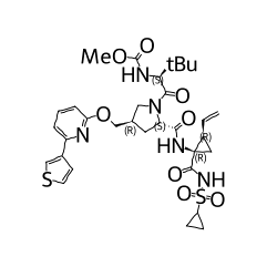 C=C[C@H]1C[C@]1(NC(=O)[C@@H]1C[C@@H](COc2cccc(-c3ccsc3)n2)CN1C(=O)[C@@H](NC(=O)OC)C(C)(C)C)C(=O)NS(=O)(=O)C1CC1